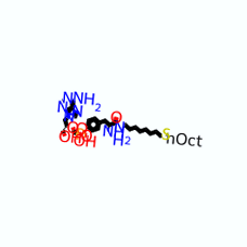 CCCCCCCCSCCCCCCCCNC(=O)[C@@H](N)Cc1ccc(OP(=O)(O)CO[C@H](CO)Cn2cnc3c(N)ncnc32)cc1